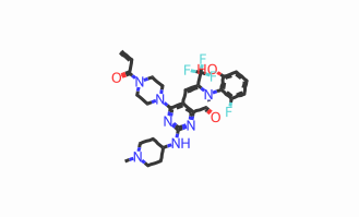 C=CC(=O)N1CCN(c2nc(NC3CCN(C)CC3)nc(C=O)c2/C=C(\N(C)c2c(O)cccc2F)C(F)(F)F)CC1